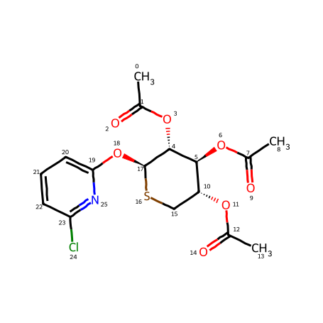 CC(=O)O[C@@H]1[C@@H](OC(C)=O)[C@H](OC(C)=O)CS[C@H]1Oc1cccc(Cl)n1